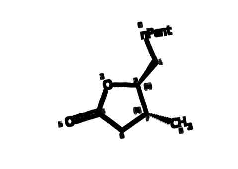 CCCCCC[C@@H]1OC(=O)C[C@H]1C